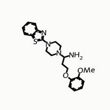 COc1ccccc1OCCC(N)N1CCN(c2nc3ccccc3s2)CC1